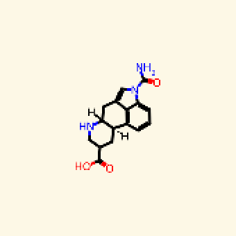 NC(=O)n1cc2c3c(cccc31)[C@H]1CC(C(=O)O)CN[C@@H]1C2